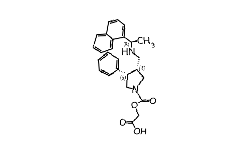 C[C@@H](NC[C@@H]1CN(C(=O)OCC(=O)O)C[C@@H]1c1ccccc1)c1cccc2ccccc12